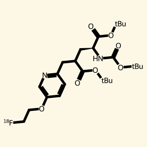 CC(C)(C)OC(=O)N[C@@H](CC(Cc1ccc(OCC[18F])cn1)C(=O)OC(C)(C)C)C(=O)OC(C)(C)C